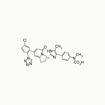 Cc1[nH]c([C@@H]2CCc3cc(-c4cc(Cl)ccc4-n4cnnn4)cc(=O)n32)nc1-c1ccc(N(C)C(=O)O)cc1